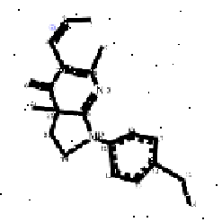 C=C1C(/C=C\C)=C(C)N=C2N(c3ccc(CC)cc3)CCC12C